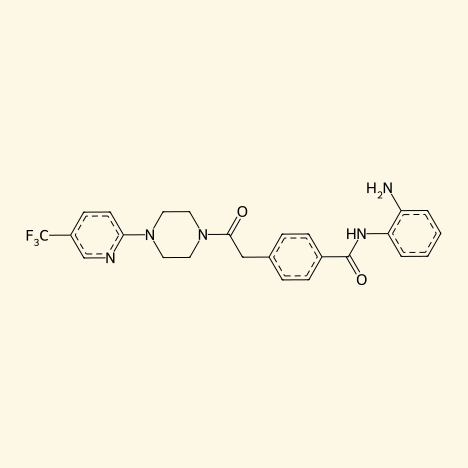 Nc1ccccc1NC(=O)c1ccc(CC(=O)N2CCN(c3ccc(C(F)(F)F)cn3)CC2)cc1